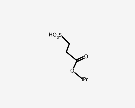 CC(C)OC(=O)CCS(=O)(=O)O